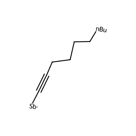 CCCCCCCCC#[C][Sb]